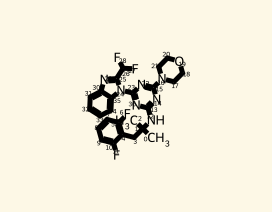 CC(C)(Cc1c(F)cccc1F)Nc1nc(N2CCOCC2)nc(-n2c(C(F)F)nc3ccccc32)n1